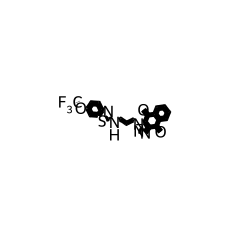 O=C1c2ccccc2C(=O)c2c1nnn2CCCNc1nc2ccc(OC(F)(F)F)cc2s1